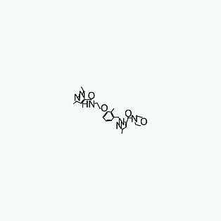 CCn1nc(C)cc1C(=O)NCCOc1cccc(Cn2nc(C)cc2C(=O)N2CCOCC2)c1C